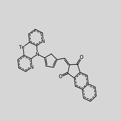 O=C1C(=CC2=CC=C(N3c4ncccc4[Te]c4cccnc43)C2)C(=O)c2cc3ccccc3cc21